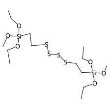 CCO[Si](CCSSSSCC[Si](OC)(OCC)OCC)(OC)OCC